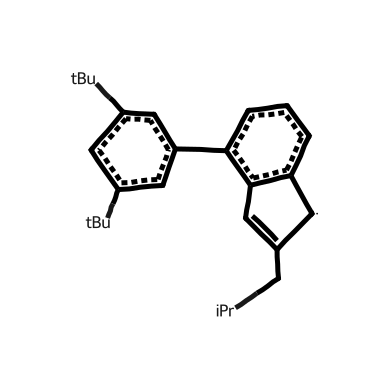 CC(C)CC1=Cc2c(cccc2-c2cc(C(C)(C)C)cc(C(C)(C)C)c2)[CH]1